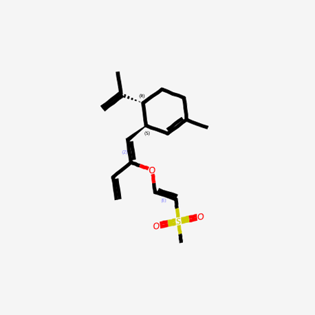 C=C/C(=C/[C@@H]1C=C(C)CC[C@H]1C(=C)C)O/C=C/S(C)(=O)=O